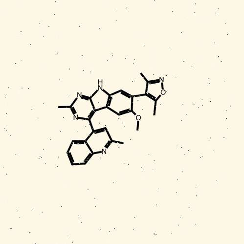 COc1cc2c(cc1-c1c(C)noc1C)[nH]c1nc(C)nc(-c3cc(C)nc4ccccc34)c12